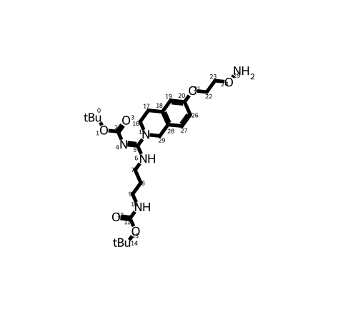 CC(C)(C)OC(=O)/N=C(/NCCCNC(=O)OC(C)(C)C)N1CCc2cc(OCCON)ccc2C1